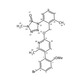 COc1ccc(Br)cc1-c1ccc(OCc2c(C)cccc2-n2nnn(C)c2=O)nc1C